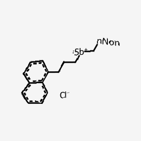 CCCCCCCCC[CH2][Sb+][CH2]CCc1cccc2ccccc12.[Cl-]